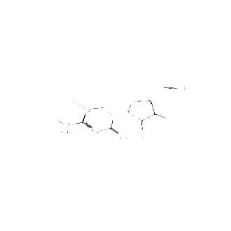 NN1CN([C@@H]2O[C@H](CO)C(O)C2O)C(=O)N=C1NO